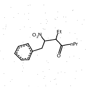 CCCC(=O)C(CC)C(Cc1ccccc1)[N+](=O)[O-]